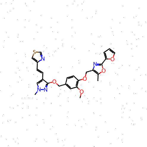 COc1cc(COc2nn(C)cc2C=Cc2cscn2)ccc1OCc1nc(-c2ccco2)oc1C